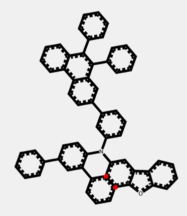 c1ccc(-c2ccc(N(c3cccc(-c4ccc5c(c4)c(-c4ccccc4)c(-c4ccccc4)c4ccccc45)c3)c3ccc4oc5ccccc5c4c3)c(-c3ccccc3)c2)cc1